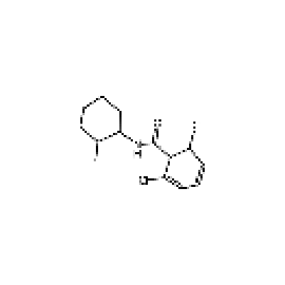 CC1CCCCC1NC(=O)C1C(Cl)=CC=CC1Cl